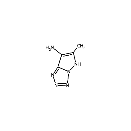 Cc1[nH]n2nnnc2c1N